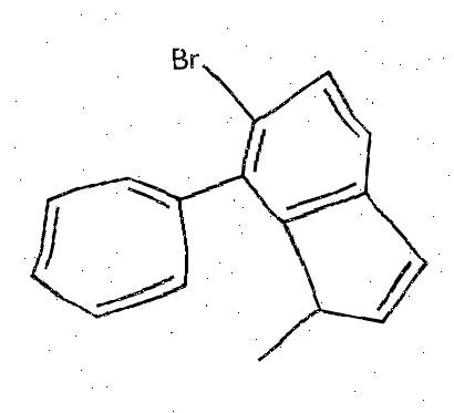 CC1C=Cc2ccc(Br)c(-c3ccccc3)c21